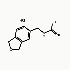 Cl.N=C(S)NCc1ccc2c(c1)COC2